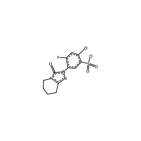 O=c1n(-c2cc(S(=O)(=O)Cl)c(Cl)cc2F)nc2n1CCCC2